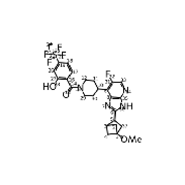 COC12CC(C1)C(c1nc3c(C4CCN(C(=O)c5ccc(S(F)(F)(F)(F)F)cc5O)CC4)c(F)cnc3[nH]1)C2